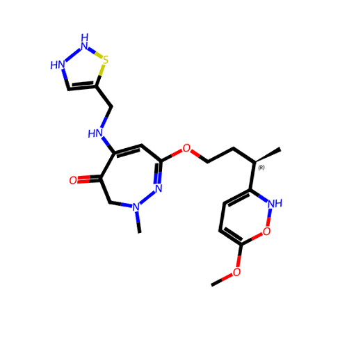 COC1=CC=C([C@H](C)CCOC2=NN(C)CC(=O)C(NCC3=CNNS3)=C2)NO1